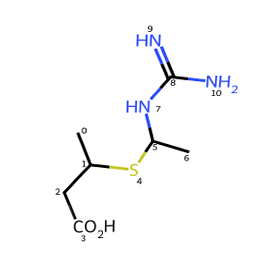 CC(CC(=O)O)SC(C)NC(=N)N